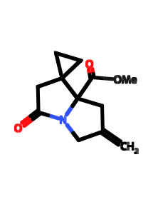 C=C1CN2C(=O)CC3(CC3)C2(C(=O)OC)C1